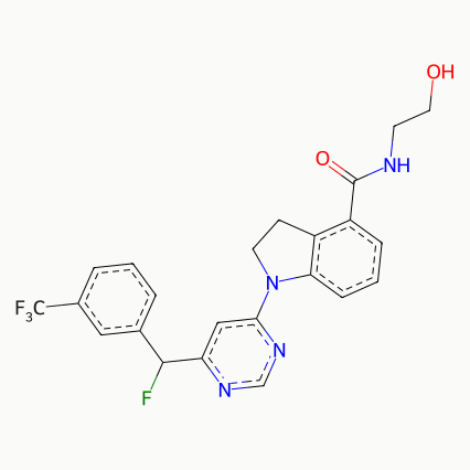 O=C(NCCO)c1cccc2c1CCN2c1cc(C(F)c2cccc(C(F)(F)F)c2)ncn1